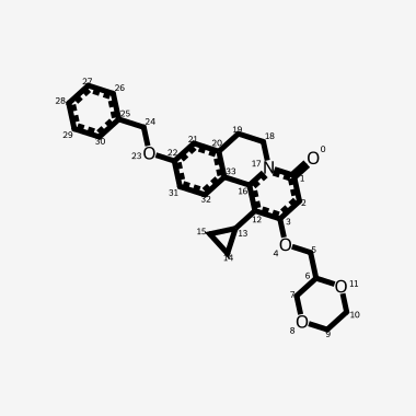 O=c1cc(OCC2COCCO2)c(C2CC2)c2n1CCc1cc(OCc3ccccc3)ccc1-2